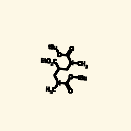 CCOC(=O)C(CN(C)C(=O)OC(C)(C)C)CN(C)C(=O)OC(C)(C)C